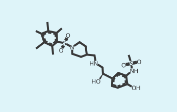 Cc1c(C)c(C)c(S(=O)(=O)N2CCC(CNC[C@H](O)c3ccc(O)c(NS(C)(=O)=O)c3)CC2)c(C)c1C